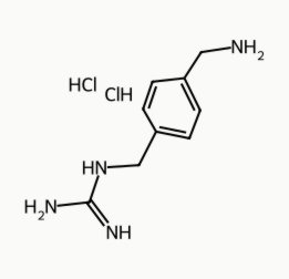 Cl.Cl.N=C(N)NCc1ccc(CN)cc1